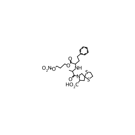 CC(NC(CCc1ccccc1)C(=O)OCCCO[N+](=O)[O-])C(=O)N1CC2(CC1C(=O)O)SCCS2